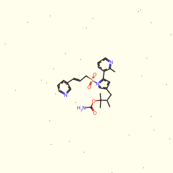 Cc1ncccc1-c1cc(CC(C)C(C)(C)OC(N)=O)cn1S(=O)(=O)CC=Cc1cccnc1